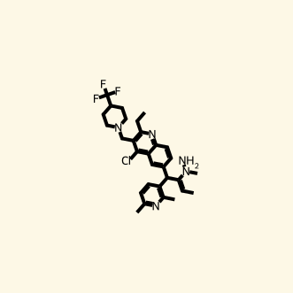 C/C=C(/C(c1ccc2nc(CC)c(CN3CCC(C(F)(F)F)CC3)c(Cl)c2c1)c1ccc(C)nc1C)N(C)N